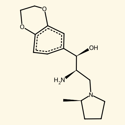 C[C@@H]1CCCN1C[C@@H](N)[C@H](O)c1ccc2c(c1)OCCO2